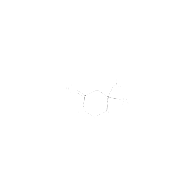 C=C1CC(C)(C)CCO1